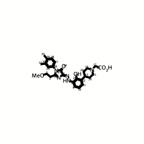 COCCC1=NC(=NNc2cccc(C3CCN(CC(=O)O)CC3)c2O)C(=O)N1c1ccc(C)c(C)c1